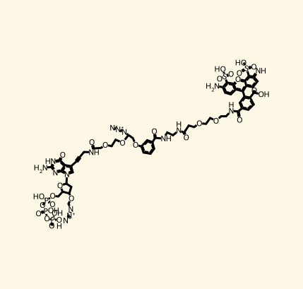 [N-]=[N+]=NCOC1CC(n2cc(C#CCNC(=O)COCCOC(COc3cccc(C(=O)NCCNC(=O)CCOCCOCCNC(=O)c4ccc(C(=O)O)c(-c5c6ccc(=N)c(S(=O)(=O)O)c-6oc6c(S(=O)(=O)O)c(N)ccc56)c4)c3)N=[N+]=[N-])c3c(=O)[nH]c(N)nc32)OC1COP(=O)(O)OP(=O)(O)OP(=O)(O)O